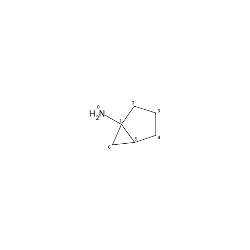 NC12CCCC1C2